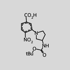 CC(C)(C)OC(=O)NC1CCN(c2cc(C(=O)O)ccc2[N+](=O)[O-])C1